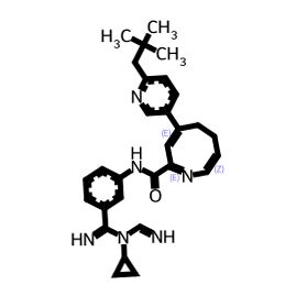 CC(C)(C)Cc1ccc(/C2=C/C(C(=O)Nc3cccc(C(=N)N(C=N)C4CC4)c3)=N\C=C/CC2)cn1